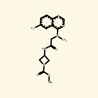 CN(CC(=O)NC1CN(C(=O)OC(C)(C)C)C1)c1ncnc2ccc(C(F)(F)F)cc12